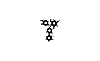 Cc1ccc(N(c2ccc(-c3ccccc3)cc2)c2c(C)cc(C)cc2C)cc1